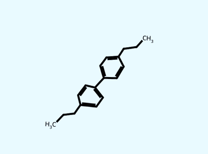 CCCc1ccc(-c2ccc(CCC)cc2)cc1